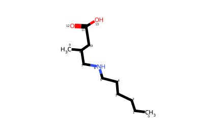 CCCCCCNCC(C)CC(=O)O